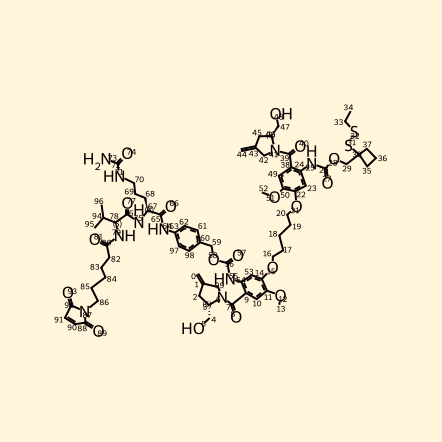 C=C1C[C@@H](CO)N(C(=O)c2cc(OC)c(OCCCCCOc3cc(NC(=O)OCC4(SSCC)CCC4)c(C(=O)N4CC(=C)C[C@H]4CO)cc3OC)cc2NC(=O)OCc2ccc(NC(=O)[C@H](CCCNC(N)=O)NC(=O)[C@@H](NC(=O)CCCCCN3C(=O)C=CC3=O)C(C)C)cc2)C1